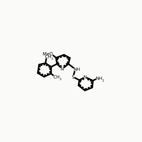 COc1ccc(NSc2cccc(N)n2)nc1-c1c(C)cccc1C